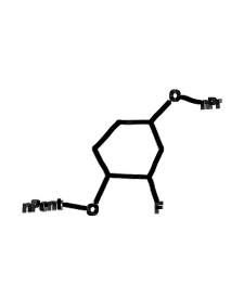 CCCCCOC1CCC(OCCC)CC1F